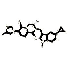 Cc1cn(-c2ccc3n(c2=O)C[C@H](C)N(Cc2cn(C)c4ccc(C5CC5)cc24)C3=O)cn1